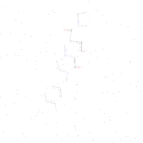 O=C(c1cn2ccn(Cc3cccc(Cl)c3)c(=O)c2c(O)c1=O)N1CCCC1